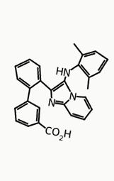 Cc1cccc(C)c1Nc1c(-c2ccccc2-c2cccc(C(=O)O)c2)nc2ccccn12